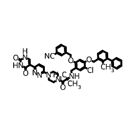 Cc1c(COc2cc(OCc3cccc(C#N)c3)c(CNC(C)(C)C(=O)N3CCN(c4ccc(-c5c[nH]c(=O)[nH]c5=O)nn4)CC3)cc2Cl)cccc1-c1ccccc1